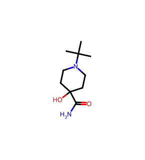 CC(C)(C)N1CCC(O)(C(N)=O)CC1